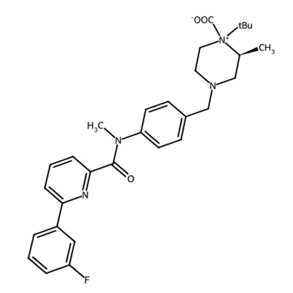 C[C@H]1CN(Cc2ccc(N(C)C(=O)c3cccc(-c4cccc(F)c4)n3)cc2)CC[N+]1(C(=O)[O-])C(C)(C)C